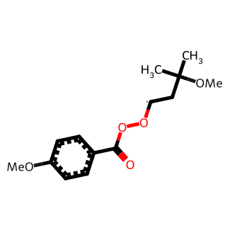 COc1ccc(C(=O)OO[CH]CC(C)(C)OC)cc1